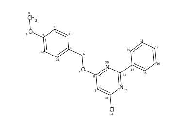 COc1ccc(COc2cc(Cl)nc(-c3ccccc3)n2)cc1